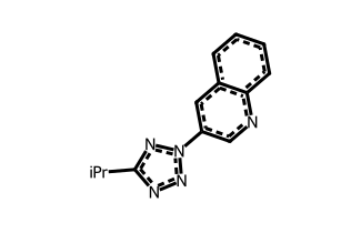 CC(C)c1nnn(-c2cnc3ccccc3c2)n1